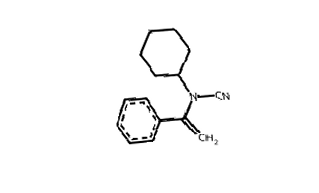 C=C(c1ccccc1)N(C#N)C1CCCCC1